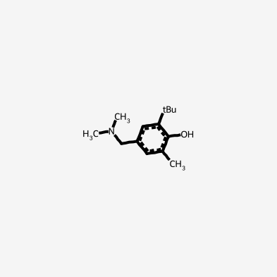 Cc1cc(CN(C)C)cc(C(C)(C)C)c1O